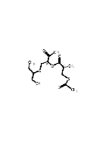 CCC(CC)SC[C@H](OC(=O)[C@H](C)CSC(C)=O)C(=O)O